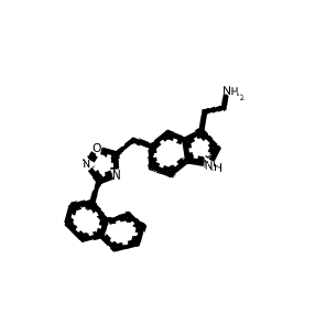 NCCc1c[nH]c2ccc(Cc3nc(-c4cccc5ccccc45)no3)cc12